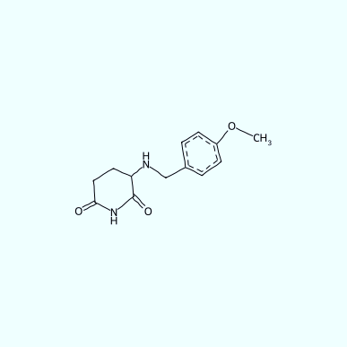 COc1ccc(CNC2CCC(=O)NC2=O)cc1